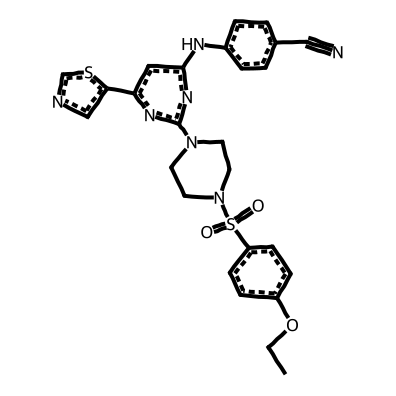 CCOc1ccc(S(=O)(=O)N2CCN(c3nc(Nc4ccc(C#N)cc4)cc(-c4cncs4)n3)CC2)cc1